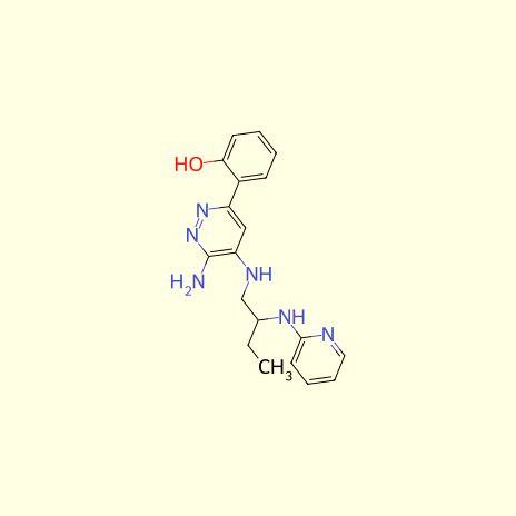 CCC(CNc1cc(-c2ccccc2O)nnc1N)Nc1ccccn1